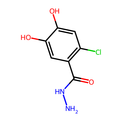 NNC(=O)c1cc(O)c(O)cc1Cl